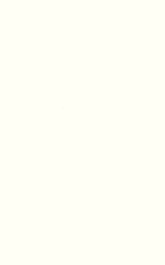 O=C(O)N1CC=C(c2cccc(Cl)c2)CC1